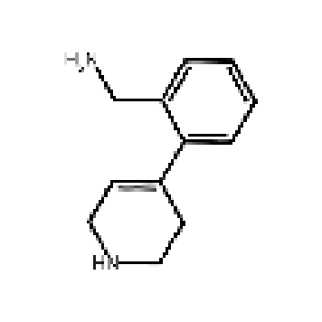 NCc1ccccc1C1=CCNCC1